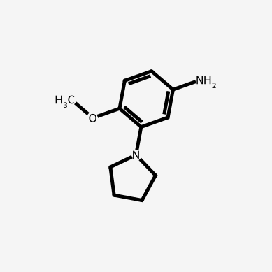 COc1ccc(N)cc1N1CCCC1